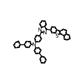 c1ccc(-c2ccc(N(c3ccc(-c4ccccc4)cc3)c3ccc(-c4nc(-c5ccc6c(c5)sc5c7ccccc7ccc65)c5ccccc5n4)cc3)cc2)cc1